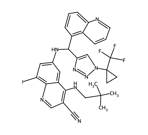 CC(C)(C)CNc1c(C#N)cnc2c(I)cc(NC(c3cn(C4(C(F)(F)F)CC4)nn3)c3cccc4ncccc34)cc12